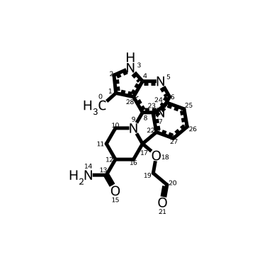 Cc1c[nH]c2ncnc(N3CCC(C(N)=O)CC3(OCC=O)c3ccccc3)c12